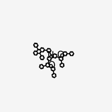 c1ccc(-c2ccc3oc4c(-c5ccc6c(c5)c5cc(-c7cc(-c8ccccc8)cc8c7oc7ccc(-c9ccccc9)cc78)ccc5n6-c5cccc(-c6ccc7c(-c8ccccc8)c8ccccc8c(-c8ccccc8)c7c6)c5)cc(-c5ccccc5)cc4c3c2)cc1